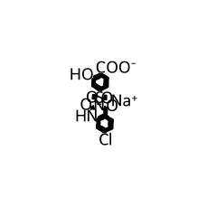 O=C([O-])c1ccc(S(=O)(=O)n2c(=O)[nH]c3cc(Cl)ccc3c2=O)cc1O.[Na+]